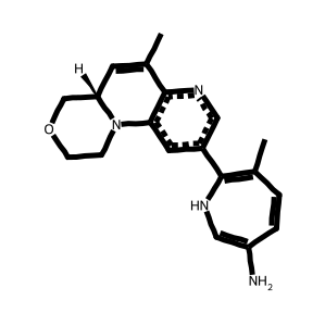 CC1=C[C@H]2COCCN2c2cc(C3=C(C)C=CC(N)=CN3)cnc21